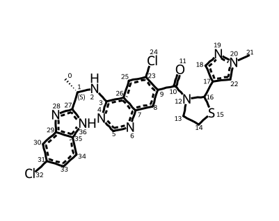 C[C@H](Nc1ncnc2cc(C(=O)N3CCSC3c3cnn(C)c3)c(Cl)cc12)c1nc2cc(Cl)ccc2[nH]1